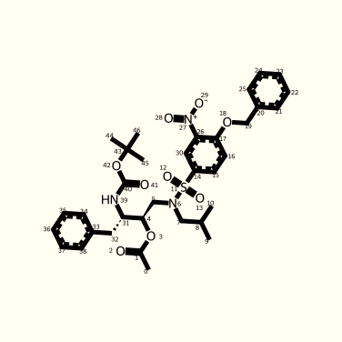 CC(=O)O[C@H](CN(CC(C)C)S(=O)(=O)c1ccc(OCc2ccccc2)c([N+](=O)[O-])c1)[C@H](Cc1ccccc1)NC(=O)OC(C)(C)C